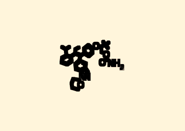 CCC(=C(c1ccc(OC(COC(N)=O)C(C)(C)C)cc1)c1ccc2c(cnn2C2CCCCO2)c1)c1ccccc1C(C)C